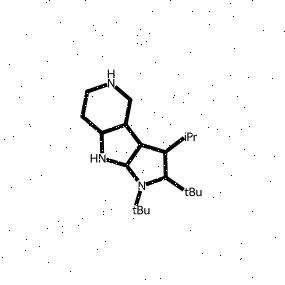 CC(C)C1C2C3CNCCC3NC2N(C(C)(C)C)C1C(C)(C)C